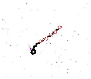 COCCOCCOCCOCCOCCCCc1ccccc1I